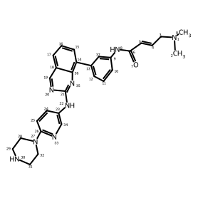 CN(C)C/C=C/C(=O)Nc1cccc(-c2cccc3cnc(Nc4ccc(N5CCNCC5)nc4)nc23)c1